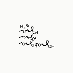 CCOC=CC(=O)O.CCOC=CC(=O)O.CCOC=CC(=O)O.CCOC=CC(=O)O.[SiH4]